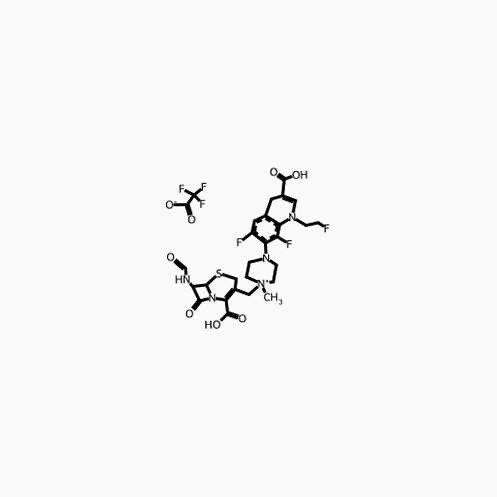 C[N+]1(CC2=C(C(=O)O)N3C(=O)C(NC=O)C3SC2)CCN(c2c(F)cc3c(c2F)N(CCF)C=C(C(=O)O)C3)CC1.O=C([O-])C(F)(F)F